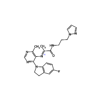 C/C(=N\c1c(C)ncnc1N1CCc2cc(F)ccc21)C(=O)NCCCn1cccn1